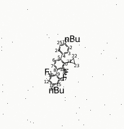 CCCCc1ccc(-c2ccc(-c3c(F)cc(CCCC)cc3F)c(F)c2C2CC2)cc1